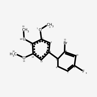 COc1cc(C2CC=C(F)C=C2Br)cc(OC)c1OC